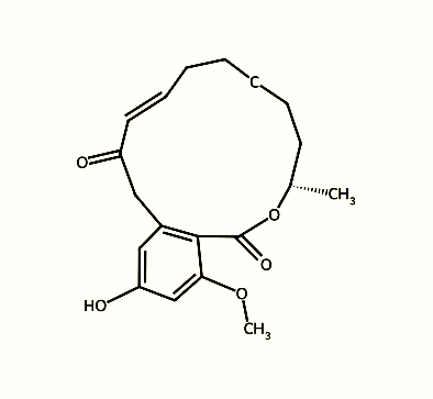 COc1cc(O)cc2c1C(=O)O[C@@H](C)CCCCC/C=C/C(=O)C2